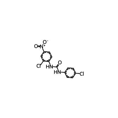 O=C(Nc1ccc(Cl)cc1)Nc1ccc([N+](=O)[O-])cc1Cl